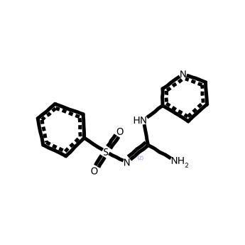 N/C(=N/S(=O)(=O)c1ccccc1)Nc1cccnc1